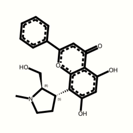 CN1CC[C@@H](c2c(O)cc(O)c3c(=O)cc(-c4ccccc4)oc23)[C@@H]1CO